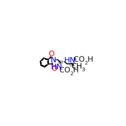 C[C@@H](CC[C@@H](CN1C(=O)c2ccccc2C1=O)NC(=O)O)NC(=O)O